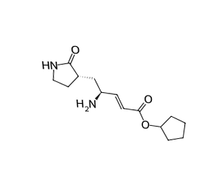 N[C@H](/C=C/C(=O)OC1CCCC1)C[C@@H]1CCNC1=O